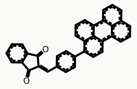 O=C1C(=Cc2ccc(-c3ccc4c5cccc6cccc(c7cccc3c74)c65)cc2)C(=O)c2ccccc21